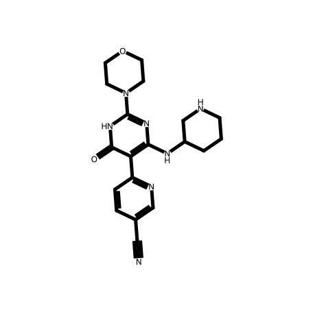 N#Cc1ccc(-c2c(NC3CCCNC3)nc(N3CCOCC3)[nH]c2=O)nc1